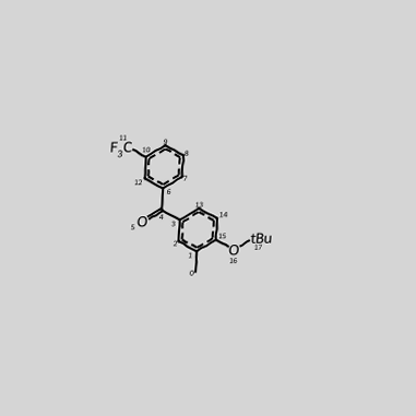 Cc1cc(C(=O)c2cccc(C(F)(F)F)c2)ccc1OC(C)(C)C